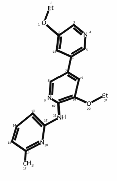 CCOc1cncc(-c2cnc(Nc3cccc(C)n3)c(OCC)c2)c1